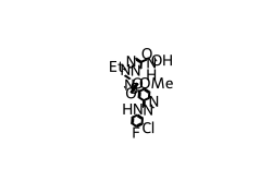 CCN(CCN(C)S(=O)(=O)c1cc2c(Nc3ccc(F)c(Cl)c3)ncnc2cc1OC)c1ncc(C(=O)NO)cn1